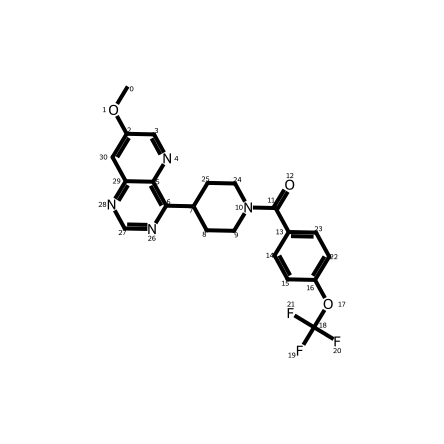 COc1cnc2c(C3CCN(C(=O)c4ccc(OC(F)(F)F)cc4)CC3)ncnc2c1